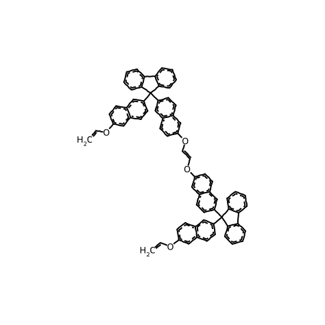 C=COc1ccc2cc(C3(c4ccc5cc(O/C=C/Oc6ccc7cc(C8(c9ccc%10cc(OC=C)ccc%10c9)c9ccccc9-c9ccccc98)ccc7c6)ccc5c4)c4ccccc4-c4ccccc43)ccc2c1